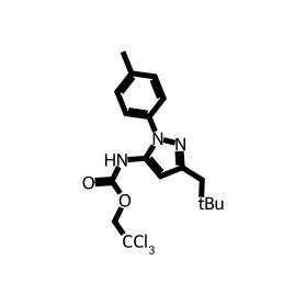 Cc1ccc(-n2nc(CC(C)(C)C)cc2NC(=O)OCC(Cl)(Cl)Cl)cc1